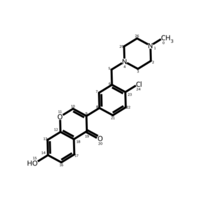 CN1CCN(Cc2cc(-c3coc4cc(O)ccc4c3=O)ccc2Cl)CC1